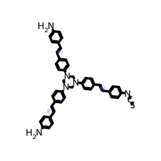 Nc1ccc(/C=C/c2ccc(N3CN(c4ccc(/C=C/c5ccc(N)cc5)cc4)CN(c4ccc(/C=C/c5ccc(N=C=S)cc5)cc4)C3)cc2)cc1